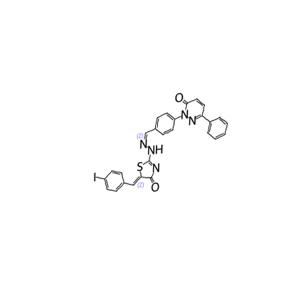 O=C1N=C(N/N=C\c2ccc(-n3nc(-c4ccccc4)ccc3=O)cc2)S/C1=C\c1ccc(I)cc1